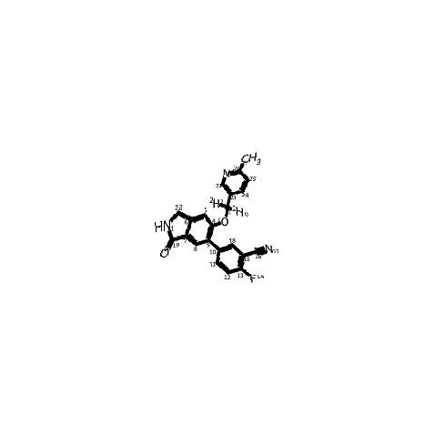 [2H]C([2H])(Oc1cc2c(cc1-c1ccc(F)c(C#N)c1)C(=O)NC2)c1ccc(C)nc1